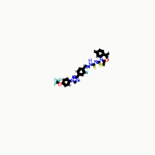 Cc1ccc(C(C)C)c(N2C(=O)CS/C2=N\C(=S)N/N=C/c2ccc(-c3ncn(-c4ccc(OC(F)(F)F)cc4)n3)cc2F)c1